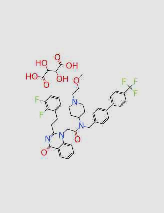 COCCN1CCC(N(Cc2ccc(-c3ccc(C(F)(F)F)cc3)cc2)C(=O)Cn2c(CCc3cccc(F)c3F)nc(=O)c3ccccc32)CC1.O=C(O)C(O)C(O)C(=O)O